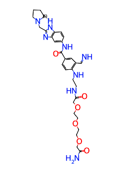 C[C@H]1CCCN1Cc1nc2cc(NC(=O)c3ccc(NCCNC(=O)COCCOCCOCC(N)=O)c(C=N)c3)ccc2[nH]1